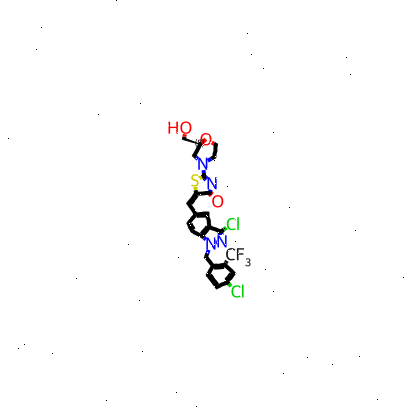 O=C1N=C(N2CCO[C@H](CO)C2)SC1=Cc1ccc2c(c1)c(Cl)nn2Cc1ccc(Cl)cc1C(F)(F)F